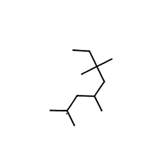 CCC(C)(C)CC(C)C[C](C)C